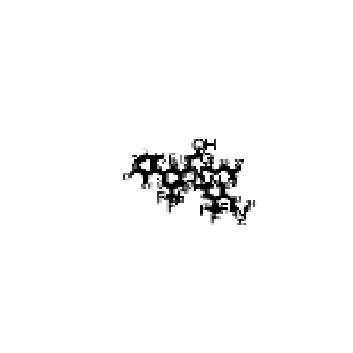 Cc1ccc(C)c(-c2cc(C(F)(F)F)c(F)c(C(CC(=O)O)NCC(CC(C)C)n3cc(CCN(C)C)c(C(F)(F)F)cc3=O)c2F)c1C